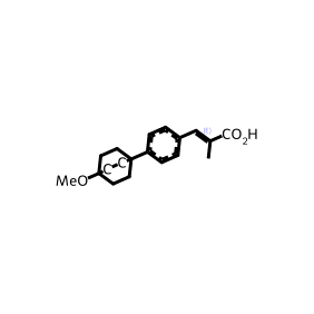 COC12CCC(c3ccc(/C=C(\C)C(=O)O)cc3)(CC1)CC2